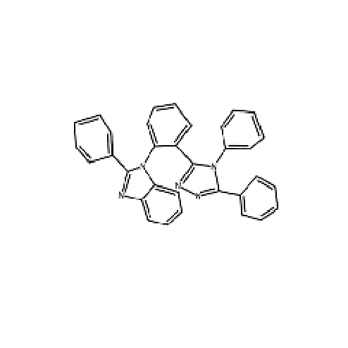 c1ccc(-c2nnc(-c3ccccc3-n3c(-c4ccccc4)nc4ccccc43)n2-c2ccccc2)cc1